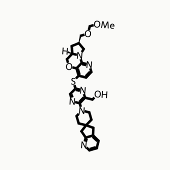 COCOC[C@@H]1C[C@H]2COc3c(Sc4cnc(N5CCC6(CC5)Cc5cccnc5C6)c(CO)n4)ccnc3N2C1